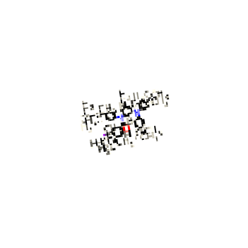 CCC(C)(I)c1cc2c3c(oc2cc1C(C)(C)C)B1c2cc(C(C)(C)C)ccc2N(c2ccc(C(C)(C)C)cc2C)c2cc(C)cc(c21)N3c1ccc(C(C)(C)CCC(C)C)cc1